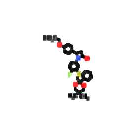 CC1(C)COC(CSc2cc(N3C(=O)CC3c3ccc(OCC(=O)O)cc3)ccc2F)(c2ccccc2)OC1